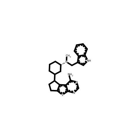 CN(Cc1c[nH]c2ccccc12)[C@H]1CCCC(C2CCc3sc4ncnc(N)c4c32)C1